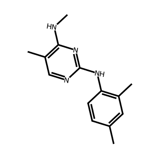 CNc1nc(Nc2ccc(C)cc2C)ncc1C